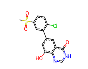 CS(=O)(=O)c1ccc(Cl)c(-c2cc(O)c3nc[nH]c(=O)c3c2)c1